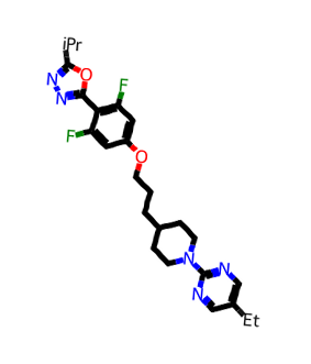 CCc1cnc(N2CCC(CCCOc3cc(F)c(-c4nnc(C(C)C)o4)c(F)c3)CC2)nc1